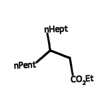 CCCCCCCC(CCCCC)CC(=O)OCC